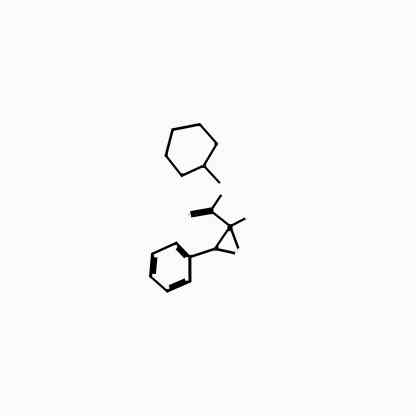 CC1(C(=O)OC2CCCCC2)OC1c1ccccc1